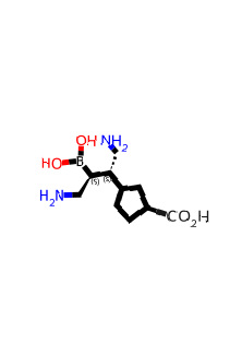 NC[C@H](C1CCC(C(=O)O)C1)[C@@H](CN)B(O)O